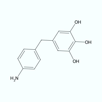 Nc1ccc(Cc2cc(O)c(O)c(O)c2)cc1